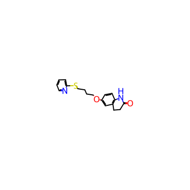 O=C1CCc2cc(OCCCCSc3ccccn3)ccc2N1